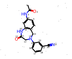 CC(=O)Nc1ccc2c(c1)NC(=O)CN(c1cccc(C#N)c1)C2